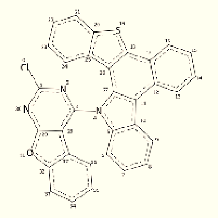 Clc1nc(-n2c3ccccc3c3c4ccccc4c4sc5ccccc5c4c32)c2c(n1)oc1ccccc12